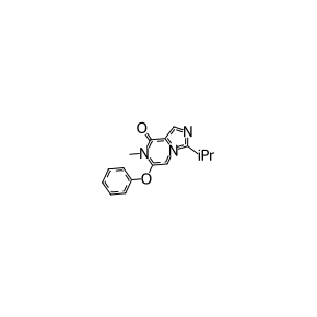 CC(C)c1ncc2c(=O)n(C)c(Oc3ccccc3)cn12